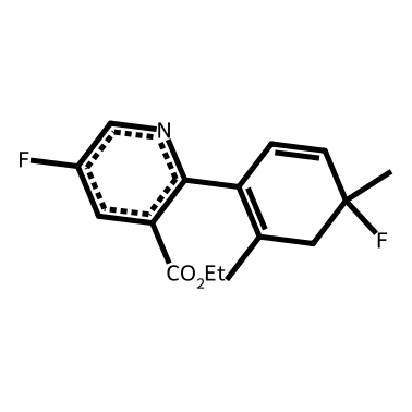 CCOC(=O)c1cc(F)cnc1C1=C(C)CC(C)(F)C=C1